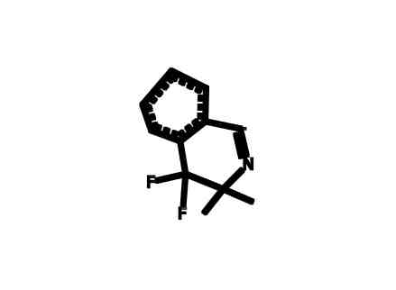 CC1(C)N=[C]c2ccccc2C1(F)F